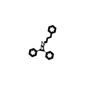 C(/CCc1ccccc1)=N\N1[C@H](c2ccccc2)[C@H]1c1ccccc1